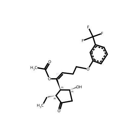 CC[C@H]1C(=O)C[C@@H](O)[C@@H]1/C(=C\CCOc1cccc(C(F)(F)F)c1)OC(C)=O